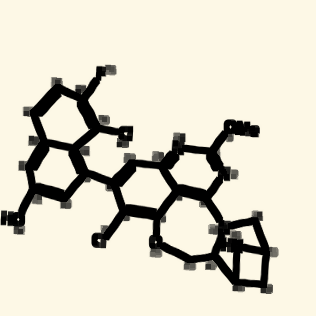 COc1nc2c3c(c(Cl)c(-c4cc(O)cc5ccc(F)c(Cl)c45)cc3n1)OCC1C3CC(CN21)N3